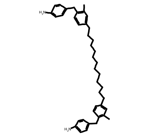 Cc1cc(CCCCCCCCCCCCCc2ccc(Cc3ccc(N)cc3)c(C)c2)ccc1Cc1ccc(N)cc1